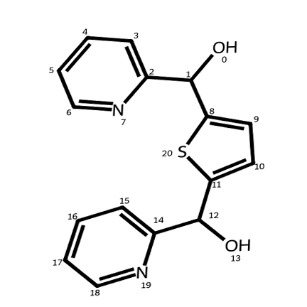 OC(c1ccccn1)c1ccc(C(O)c2ccccn2)s1